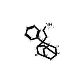 NCCC1(c2ccccc2)C2CC3CC(C2)CC1C3